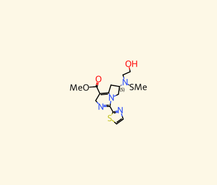 COC(=O)C1=C2C[C@H](N(CCO)SC)CN2C(c2nccs2)=NC1